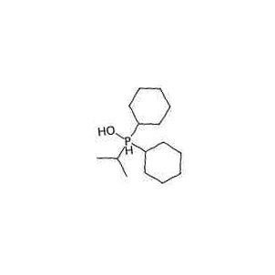 CC(C)[PH](O)(C1CCCCC1)C1CCCCC1